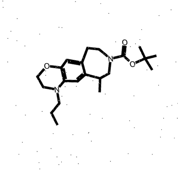 CCCN1CCOc2cc3c(cc21)C(C)CN(C(=O)OC(C)(C)C)CC3